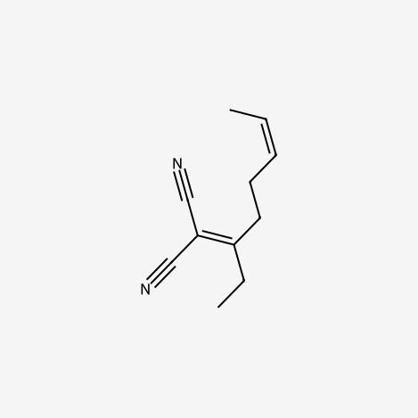 C/C=C\CCC(CC)=C(C#N)C#N